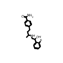 CC(CCc1ccc(C(N)=O)cc1)NCC(O)c1ccccc1F